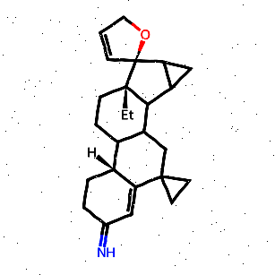 CC[C@]12CCC3C(CC4(CC4)C4=CC(=N)CC[C@@H]43)C1C1CC1[C@@]21C=CCO1